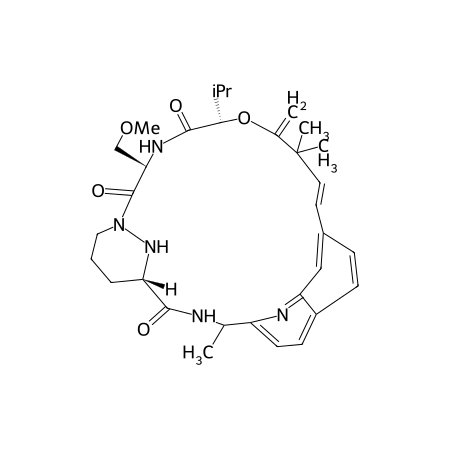 C=C1O[C@@H](C(C)C)C(=O)N[C@H](COC)C(=O)N2CCC[C@H](N2)C(=O)NC(C)c2ccc3ccc(cc3n2)/C=C/C1(C)C